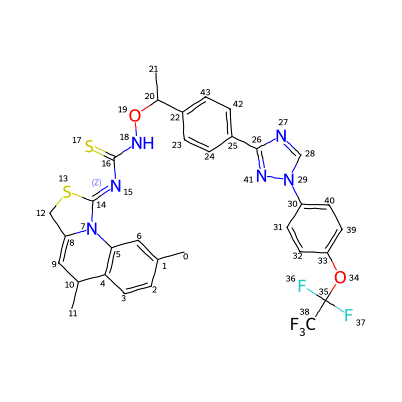 Cc1ccc2c(c1)N1C(=CC2C)CS/C1=N\C(=S)NOC(C)c1ccc(-c2ncn(-c3ccc(OC(F)(F)C(F)(F)F)cc3)n2)cc1